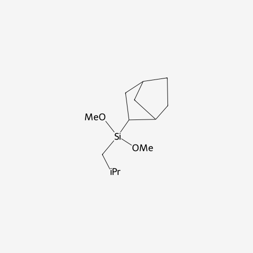 CO[Si](CC(C)C)(OC)C1CC2CCC1C2